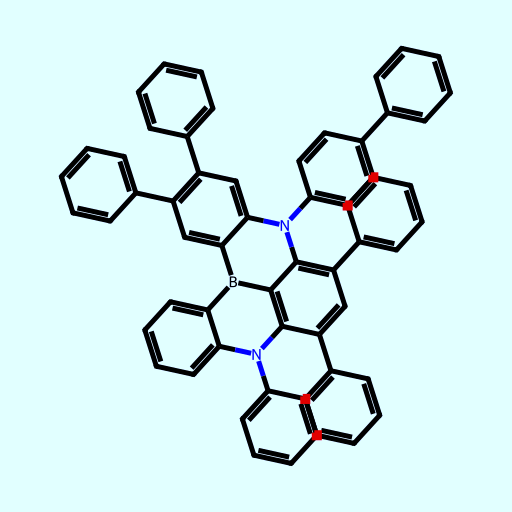 c1ccc(-c2ccc(N3c4cc(-c5ccccc5)c(-c5ccccc5)cc4B4c5ccccc5N(c5ccccc5)c5c(-c6ccccc6)cc(-c6ccccc6)c3c54)cc2)cc1